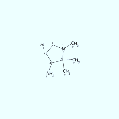 CN1CCC(N)C1(C)C.I